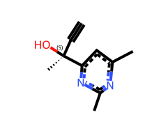 C#C[C@](C)(O)c1cc(C)nc(C)n1